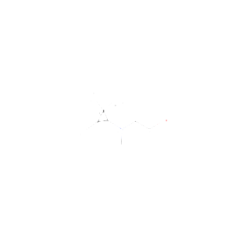 CC1C(N(C)CCO)C1(C)C